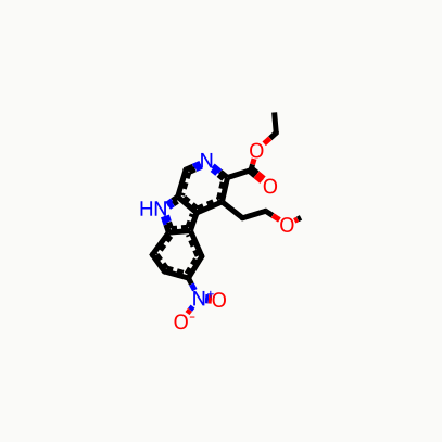 CCOC(=O)c1ncc2[nH]c3ccc([N+](=O)[O-])cc3c2c1CCOC